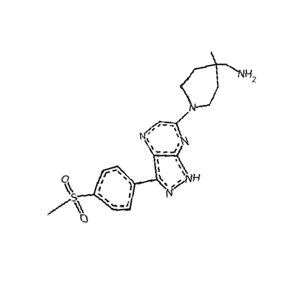 CC1(CN)CCN(c2cnc3c(-c4ccc(S(C)(=O)=O)cc4)n[nH]c3n2)CC1